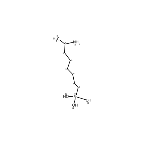 CC(N)CCCCCC[Si](O)(O)O